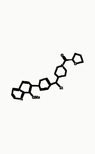 CCC(C1=CCC(c2ccc3cccnc3c2OC)C=C1)C1CCN(C(=O)[C@H]2CCCO2)CC1